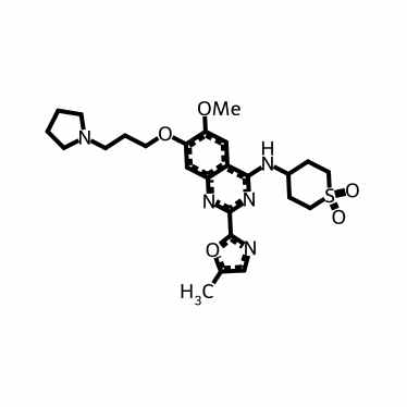 COc1cc2c(NC3CCS(=O)(=O)CC3)nc(-c3ncc(C)o3)nc2cc1OCCCN1CCCC1